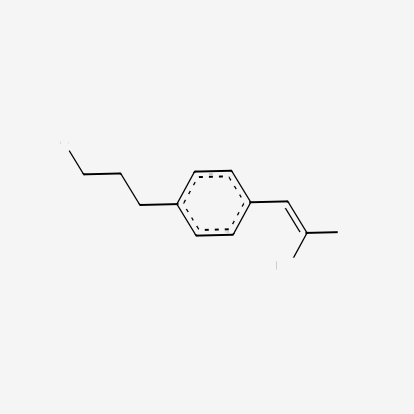 CC(C)=Cc1ccc(CCCO)cc1